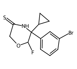 FC1OCC(=S)NC1(c1cccc(Br)c1)C1CC1